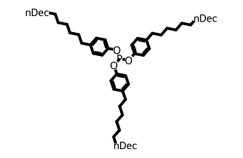 CCCCCCCCCCCCCCCCc1ccc(OP(Oc2ccc(CCCCCCCCCCCCCCCC)cc2)Oc2ccc(CCCCCCCCCCCCCCCC)cc2)cc1